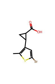 Cc1sc(Br)cc1C1CC1C(=O)O